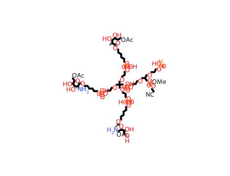 COP(=O)(OCCC#N)OCC(COCCCO[PH](=O)O)COCCCOP(=O)(O)OCC(COCCCOP(=O)(O)OCCCCCCO[C@@H](CN)OC(COC(C)=O)[C@H](O)CO)(COCCCOP(=O)(O)OCCCCCCO[C@@H]1OC(COC(C)=O)[C@H](O)C(O)[C@@H]1C)COCCCOP(=O)(O)OCCCCCCO[C@@H]1OC(COC(C)=O)[C@H](O)C(O)[C@@H]1N